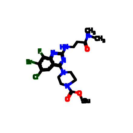 CN(C)C(=O)CCNc1nc(N2CCN(C(=O)OC(C)(C)C)CC2)c2cc(Cl)c(Br)c(F)c2n1